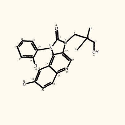 CC(C)(CO)Cn1c(=O)n(-c2ccccc2Cl)c2c3cc(Cl)ccc3ncc21